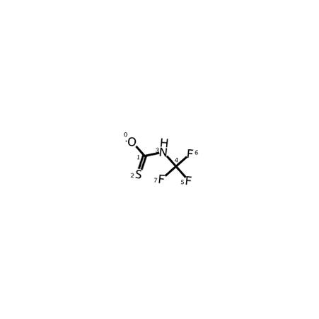 [O]C(=S)NC(F)(F)F